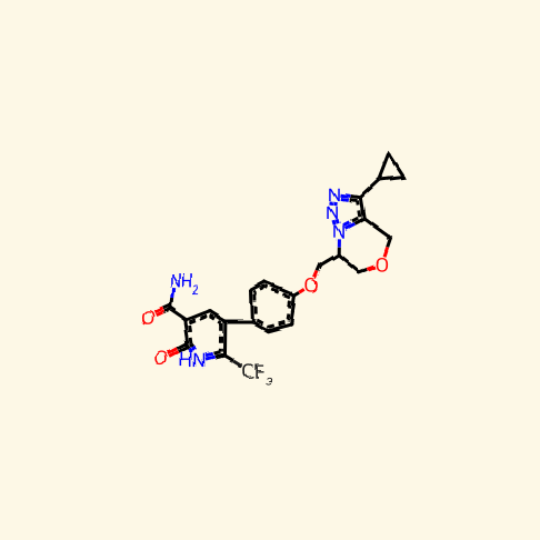 NC(=O)c1cc(-c2ccc(OCC3COCc4c(C5CC5)nnn43)cc2)c(C(F)(F)F)[nH]c1=O